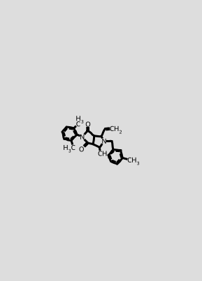 C=CC1C2C(=O)N(c3c(C)cccc3C)C(=O)C2C(C)N1Cc1cccc(C)c1